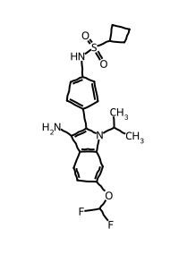 CC(C)n1c(-c2ccc(NS(=O)(=O)C3CCC3)cc2)c(N)c2ccc(OC(F)F)cc21